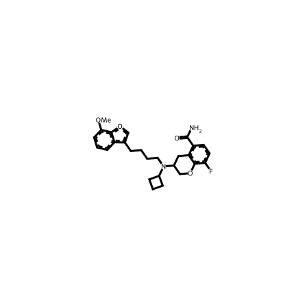 COc1cccc2c(CCCCN(C3CCC3)C3COc4c(F)ccc(C(N)=O)c4C3)coc12